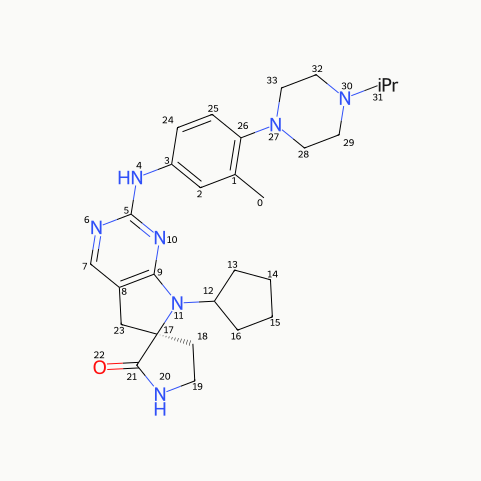 Cc1cc(Nc2ncc3c(n2)N(C2CCCC2)[C@]2(CCNC2=O)C3)ccc1N1CCN(C(C)C)CC1